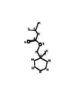 CC(C)CC(=O)OCC1(I)CCCCC1